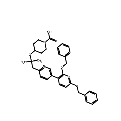 CC(C)(Cc1ccc(-c2ccc(OCc3ccccc3)nc2OCc2ccccc2)cn1)OC1CCN(C(=O)O)CC1